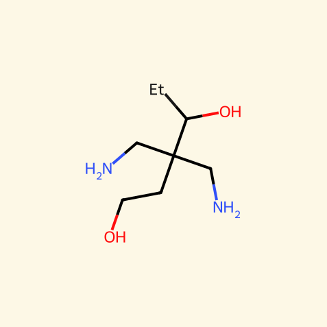 CCC(O)C(CN)(CN)CCO